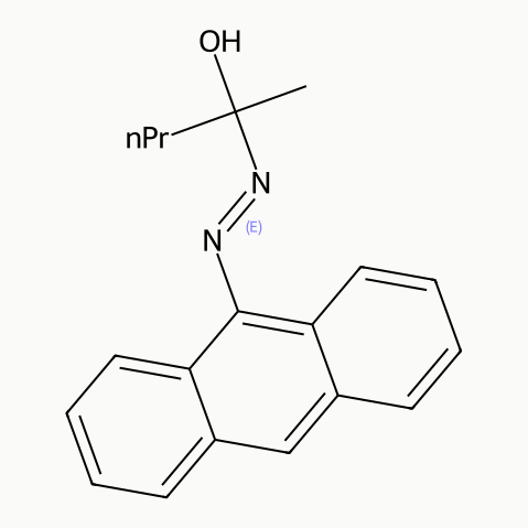 CCCC(C)(O)/N=N/c1c2ccccc2cc2ccccc12